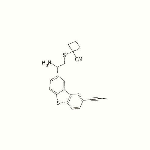 CC#Cc1ccc2sc3ccc(C(N)CSC4(C#N)CCC4)cc3c2c1